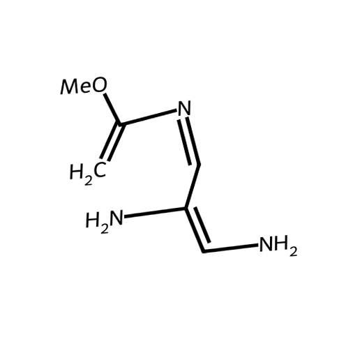 C=C(/N=C\C(N)=C/N)OC